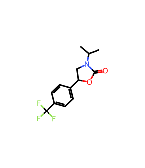 CC(C)N1CC(c2ccc(C(F)(F)F)cc2)OC1=O